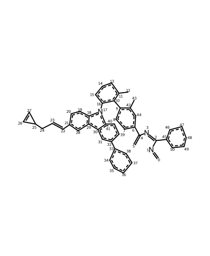 C=N/C(=N\C(=C)c1ccc(-c2c(C)cccc2-n2c3ccc(/C=C/CC4C=C4)cc3c3cc(-c4ccccc4)ccc32)c(C)c1)c1ccccc1